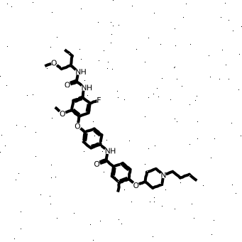 CCCCN1CCC(Oc2ccc(C(=O)Nc3ccc(Oc4cc(F)c(NC(=O)NC(CC)COC)cc4OC)cc3)cc2C)CC1